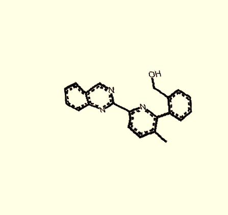 Cc1ccc(-c2ncc3ccccc3n2)nc1-c1ccccc1CO